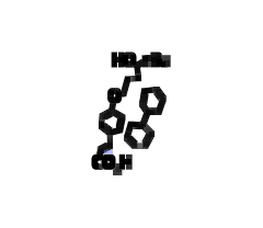 CCCCC(O)CCCOc1ccc(/C=C/C(=O)O)cc1.c1ccc(-c2ccccc2)cc1